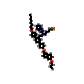 CCCCCCCCOc1ccc(-c2ccc(C3CCC(OCc4ccc5cc(OCCCC)ccc5c4)CC3)cc2/C=N/N(CCCCS)c2nc3ccccc3s2)cc1